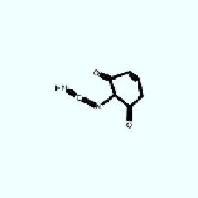 N=C=NC1C(=O)C=CCC1=O